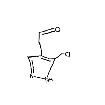 O=Cc1cn[nH]c1Cl